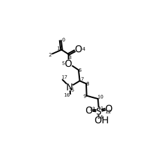 C=C(C)C(=O)OCC(CCCS(=O)(=O)O)N(C)C